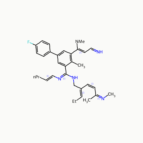 CC/C=C(/C=C\C(C)=N/C)CN/C(=N/C=C/CCC)c1cc(-c2ccc(F)cc2)cc(/C(=C/C=N)NC)c1C